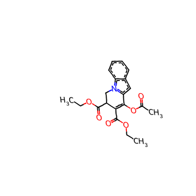 CCOC(=O)C1=C(OC(C)=O)c2cc3ccccc3n2CC1C(=O)OCC